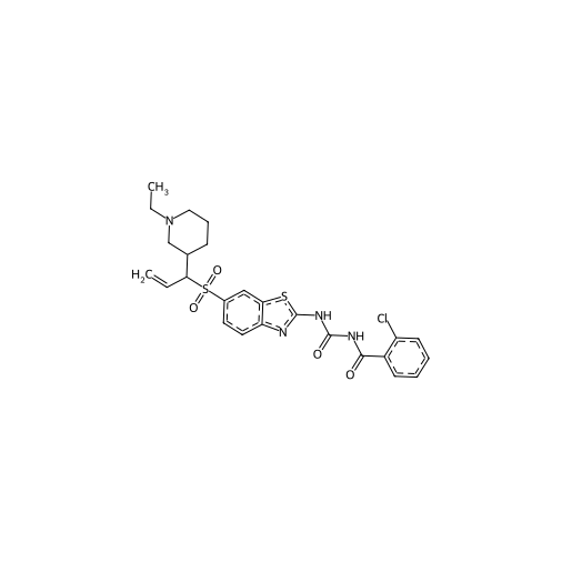 C=CC(C1CCCN(CC)C1)S(=O)(=O)c1ccc2nc(NC(=O)NC(=O)c3ccccc3Cl)sc2c1